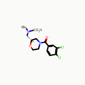 CC(C)(C)N(C[C@@H]1CN(C(=O)c2ccc(Cl)c(Cl)c2)CCO1)C(=O)O